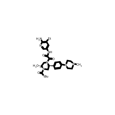 CCc1cc(NC(=O)C(=O)N2C[C@@H](C)N(C(=O)C(C)(C)C)C[C@@H]2c2ccc(N3CCN(C)CC3)cc2)cnc1N